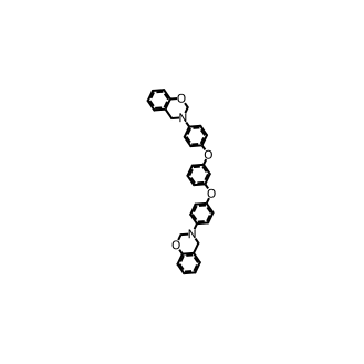 c1cc(Oc2ccc(N3COc4ccccc4C3)cc2)cc(Oc2ccc(N3COc4ccccc4C3)cc2)c1